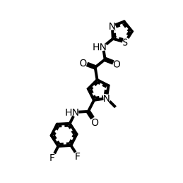 Cn1cc(C(=O)C(=O)Nc2nccs2)cc1C(=O)Nc1ccc(F)c(F)c1